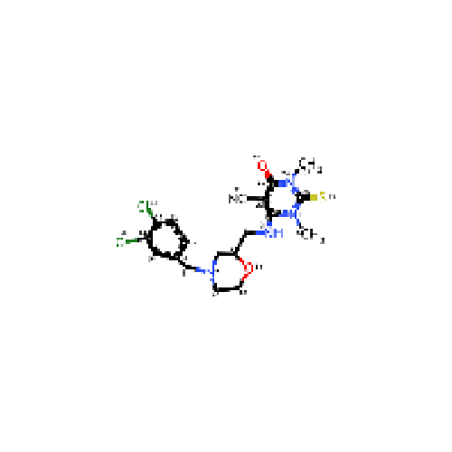 Cn1c(NCC2CN(Cc3ccc(Cl)c(Cl)c3)CCO2)c(C#N)c(=O)n(C)c1=S